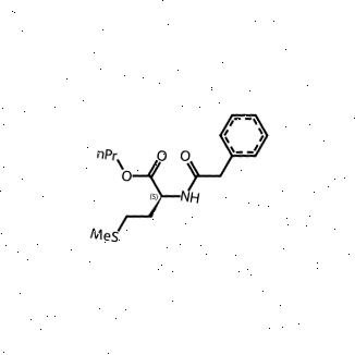 CCCOC(=O)[C@H](CCSC)NC(=O)Cc1ccccc1